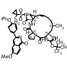 COc1ccc2c(O[C@@H]3C[C@H]4C(=O)N[C@]5(C(=O)NS(=O)(=O)C6(C)CC6)C[C@H]5C=CCC[C@@H](C)C[C@@H](C)[C@H](NC(=O)OC(C)(C)C(F)(F)F)C(=O)N4C3)nc(-c3ccc(OC(C)C)cc3)cc2c1